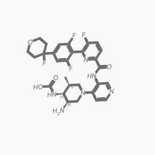 C[C@H]1CN(c2ccncc2NC(=O)c2ccc(F)c(-c3c(F)cc(C4(F)CCOCC4)cc3F)n2)C[C@@H](N)[C@H]1NC(=O)O